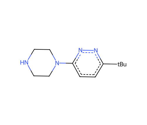 CC(C)(C)c1ccc(N2CCNCC2)nn1